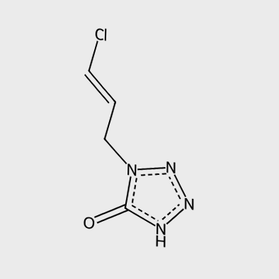 O=c1[nH]nnn1CC=CCl